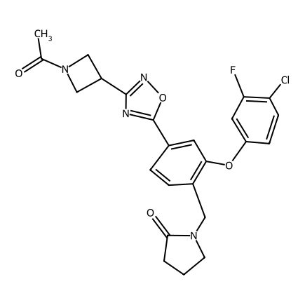 CC(=O)N1CC(c2noc(-c3ccc(CN4CCCC4=O)c(Oc4ccc(Cl)c(F)c4)c3)n2)C1